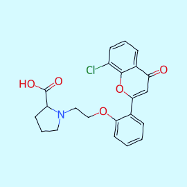 O=C(O)C1CCCN1CCOc1ccccc1-c1cc(=O)c2cccc(Cl)c2o1